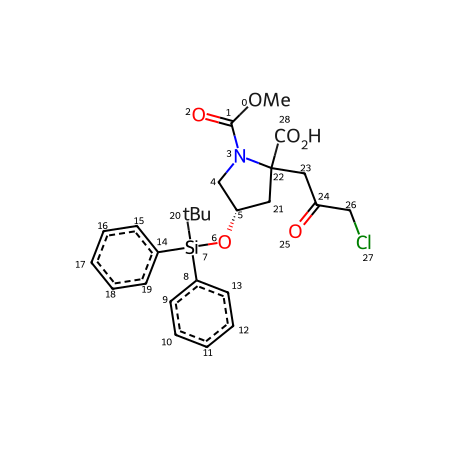 COC(=O)N1C[C@@H](O[Si](c2ccccc2)(c2ccccc2)C(C)(C)C)CC1(CC(=O)CCl)C(=O)O